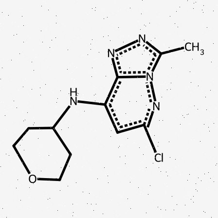 Cc1nnc2c(NC3CCOCC3)cc(Cl)nn12